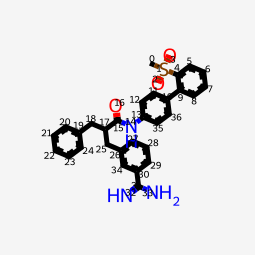 CS(=O)(=O)c1ccccc1-c1ccc(NC(=O)C(Cc2ccccc2)Cc2cccc(C(=N)N)c2)cc1